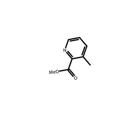 COC(=O)c1ncccc1C